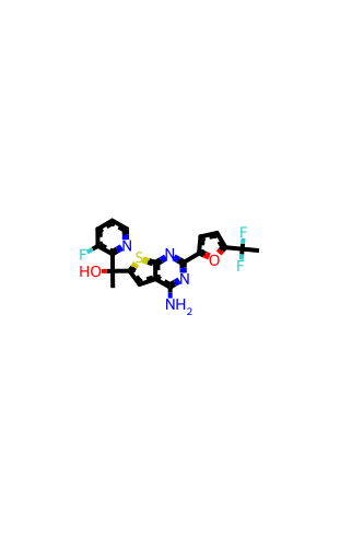 CC(F)(F)c1ccc(-c2nc(N)c3cc(C(C)(O)c4ncccc4F)sc3n2)o1